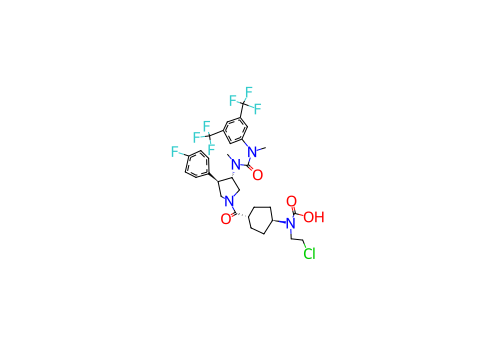 CN(C(=O)N(C)[C@@H]1CN(C(=O)[C@H]2CC[C@H](N(CCCl)C(=O)O)CC2)C[C@H]1c1ccc(F)cc1)c1cc(C(F)(F)F)cc(C(F)(F)F)c1